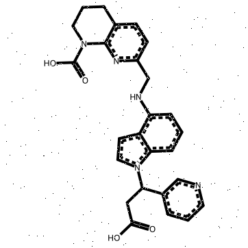 O=C(O)CC(c1cccnc1)n1ccc2c(NCc3ccc4c(n3)N(C(=O)O)CCC4)cccc21